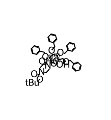 CC(C)(C)OC(=O)N1CCN(C(=O)[C@H](OCc2ccccc2)[C@@H](OCc2ccccc2)[C@H](OCc2ccccc2)[C@](O)(C=O)COCc2ccccc2)CC1